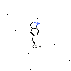 O=C(O)/C=C/c1ccc2c(c1)CCN2